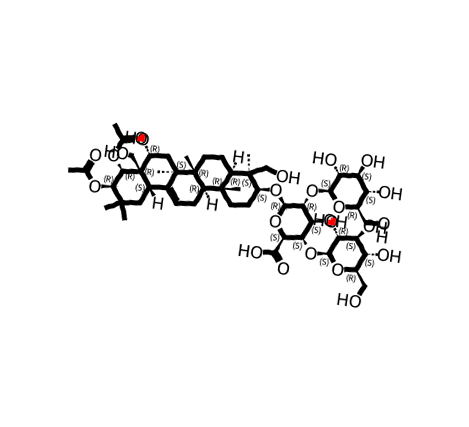 CC(=O)O[C@H]1[C@H](OC(C)=O)[C@]2(CO)[C@H](O)C[C@]3(C)C(=CC[C@@H]4[C@@]5(C)CC[C@H](O[C@@H]6O[C@H](C(=O)O)[C@@H](O[C@@H]7O[C@H](CO)[C@@H](O)[C@H](O)[C@H]7O)[C@H](O)[C@H]6O[C@@H]6O[C@H](CO)[C@@H](O)[C@H](O)[C@H]6O)[C@](C)(CO)[C@@H]5CC[C@]43C)[C@@H]2CC1(C)C